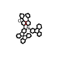 c1ccc(-c2ccc(N(c3ccc4c5ccccc5c5ccccc5c4c3)c3cc4c(cc3-c3ccc5c(c3)oc3ccccc35)-c3ccccc3C43c4ccccc4-c4ccccc43)cc2)cc1